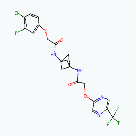 O=C(COc1ccc(Cl)c(F)c1)NC12CC(NC(=O)COc3cnc(C(F)(F)F)cn3)(C1)C2